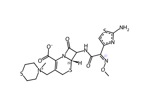 CO/N=C(\C(=O)NC1C(=O)N2C(C(=O)[O-])=C(C[N+]3(C)CCSCC3)CS[C@@H]12)c1csc(N)n1